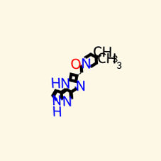 CC1(C)CCN(C(=O)C[C@H]2C[C@@H](Nc3c(C#N)cnc4[nH]ccc34)C2)CC1